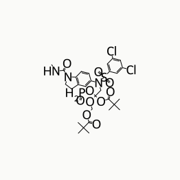 CNC(=O)N1CCc2cc(N(CC(OCOC(=O)C(C)(C)C)(O[PH2]=O)OC(=O)C(C)(C)C)S(=O)(=O)c3cc(Cl)cc(Cl)c3)ccc21